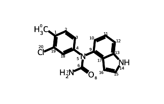 Cc1ccc(N(C(N)=O)c2cccc3[nH]ccc23)cc1Cl